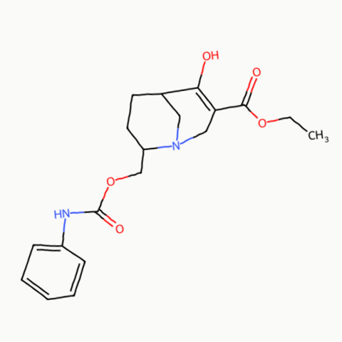 CCOC(=O)C1=C(O)C2CCC(COC(=O)Nc3ccccc3)N(C1)C2